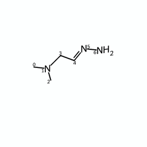 CN(C)CC=NN